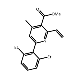 C=Cc1nc(-c2c(CC)cccc2CC)cc(C)c1C(=O)OC